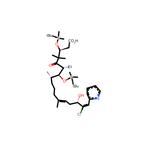 CC[C@@H](C(=O)C(C)(C)[C@H](CC(=O)O)O[Si](C)(C)C(C)(C)C)[C@@H](O[Si](C)(C)C(C)(C)C)[C@@H](C)CCC/C(C)=C/C[C@H](O)/C(Cl)=C\c1ccccn1